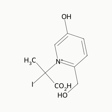 CC(I)(C(=O)O)[n+]1cc(O)ccc1CO